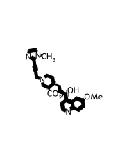 COc1ccc2nccc([C@H](O)CC[C@@H]3CCN(CC#Cc4nccn4C)C[C@@H]3C(=O)O)c2c1